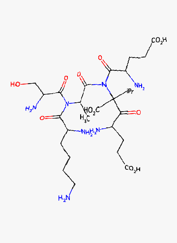 CC(C(=O)N(C(=O)C(N)CCC(=O)O)C(C(=O)O)(C(=O)C(N)CCC(=O)O)C(C)C)N(C(=O)C(N)CO)C(=O)C(N)CCCCN